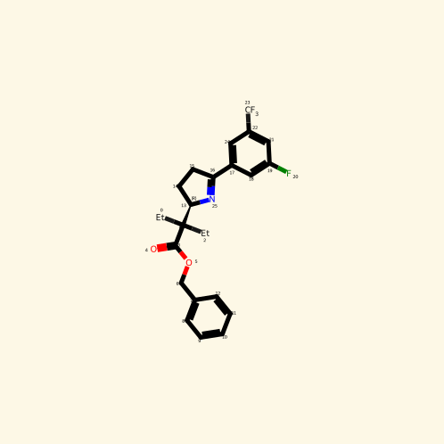 CCC(CC)(C(=O)OCc1ccccc1)[C@H]1CCC(c2cc(F)cc(C(F)(F)F)c2)=N1